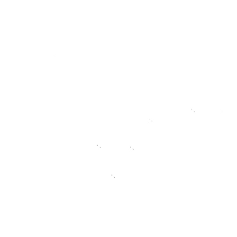 CC(C)(C)N1CCCN(c2nc(N)nc3c2CCC(c2cccc(Cl)c2)C3)CC1